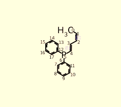 C/C=C\C=C\P(c1ccccc1)c1ccccc1